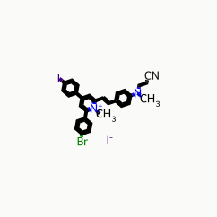 CN(CCC#N)c1ccc(/C=C/c2cc(-c3ccc(I)cc3)cc(-c3ccc(Br)cc3)[n+]2C)cc1.[I-]